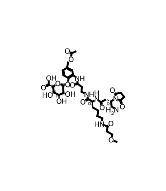 COCCC(=O)NCCCC[C@H](NC(=O)C[C@@H](CN)N1C(=O)CCC1=O)C(=O)NCCC(=O)Nc1cc(COC(C)=O)ccc1O[C@@H]1O[C@H](C(=O)O)[C@@H](O)[C@H](O)[C@H]1O